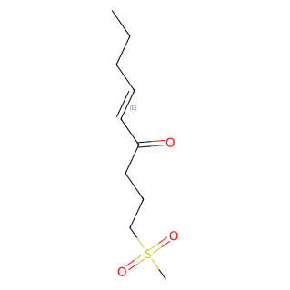 CCC/C=C/C(=O)CCCS(C)(=O)=O